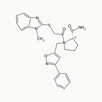 Cn1c(SCC(=O)[N+]2(Cc3cc(-c4ccccc4)no3)CCC[C@H]2C(N)=O)nc2ccccc21